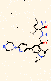 CCCc1cc(C)[nH]c(=O)c1NCC(=O)c1cc(-c2ccc(N3CCNCC3)nc2)cc2c1c(C)cn2C(C)C